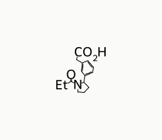 CCC(=O)N1CCCC1c1cccc(CC(=O)O)c1